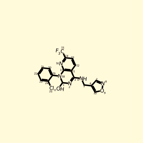 OC1N=C(NCc2cnoc2)c2ccc(C(F)(F)F)nc2N1c1ccccc1Cl